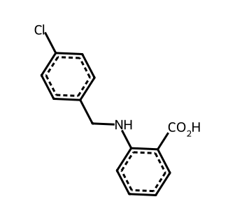 O=C(O)c1ccccc1NCc1ccc(Cl)cc1